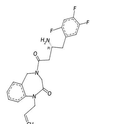 C=CCN1C(=O)CN(C(=O)C[C@H](N)Cc2cc(F)c(F)cc2F)Cc2ccccc21